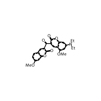 CCN(CC)c1cc(OC)c2cc(C(=O)c3cc4ccc(OC)cc4oc3=O)c(=O)oc2c1